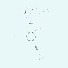 COC(=O)C1(NC(=O)Cc2c(C)cc(C#CC3CC3)cc2C)CCC(OC)CC1